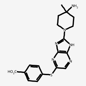 CC1(N)CCN(c2nc3nc(Sc4ccc(C(=O)O)cc4)cnc3[nH]2)CC1